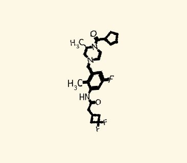 Cc1c(CN2CCN(C(=O)C3CCCC3)[C@@H](C)C2)cc(F)cc1NC(=O)CC1CC(F)(F)C1